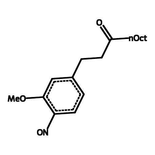 CCCCCCCCC(=O)CCc1ccc(N=O)c(OC)c1